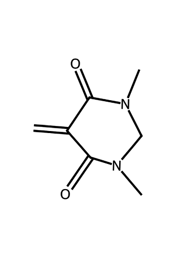 C=C1C(=O)N(C)CN(C)C1=O